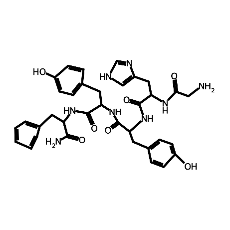 NCC(=O)NC(Cc1c[nH]cn1)C(=O)NC(Cc1ccc(O)cc1)C(=O)NC(Cc1ccc(O)cc1)C(=O)NC(Cc1ccccc1)C(N)=O